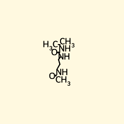 CC(=O)NCCCNC(=O)NC(C)C